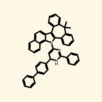 CC1(C)c2ccccc2-c2c(n(C3=CC(c4ccc(-c5ccccc5)cc4)NC(c4ccccc4)=N3)c3c2ccc2ccccc23)-c2ccccc21